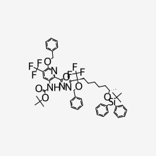 C[C@@H](CCCCC[C@@](OCc1ccccc1)(c1nnc(-c2nc(OCc3ccccc3)c(C(F)(F)F)cc2NC(=O)OC(C)(C)C)o1)C(F)(F)F)O[Si](c1ccccc1)(c1ccccc1)C(C)(C)C